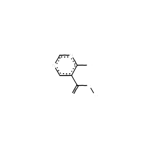 CCOC(=O)c1cn[c]nc1O